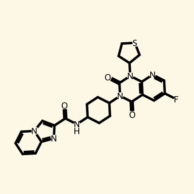 O=C(NC1CCC(n2c(=O)c3cc(F)cnc3n(C3CCSC3)c2=O)CC1)c1cn2ccccc2n1